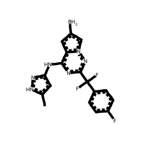 Bc1cc2c(Nc3cc(C)[nH]n3)nc(C(F)(F)c3ccc(F)cc3)nn2c1